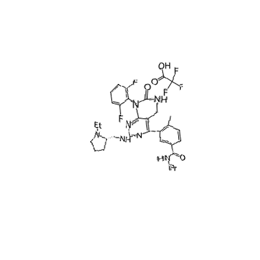 CCN1CCC[C@H]1CNc1nc(-c2cc(C(=O)NC(C)C)ccc2C)c2c(n1)N(c1c(F)cccc1F)C(=O)NC2.O=C(O)C(F)(F)F